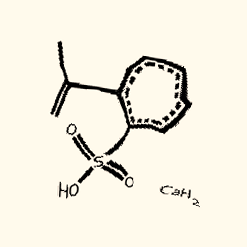 C=C(C)c1ccccc1S(=O)(=O)O.[CaH2]